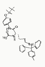 Cc1ccc(C(NCCCC[C@H](NC(=O)O)C(=O)Nc2ccc(O[Si](C)(C)C(C)(C)C)cc2)(c2ccccc2)c2ccccc2)cc1